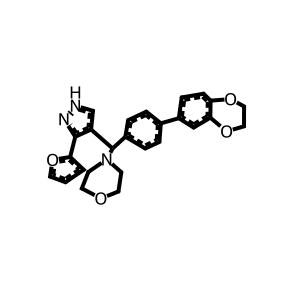 c1coc(-c2n[nH]cc2C(c2ccc(-c3ccc4c(c3)OCCO4)cc2)N2CCOCC2)c1